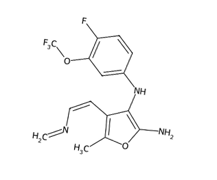 C=N/C=C\c1c(C)oc(N)c1Nc1ccc(F)c(OC(F)(F)F)c1